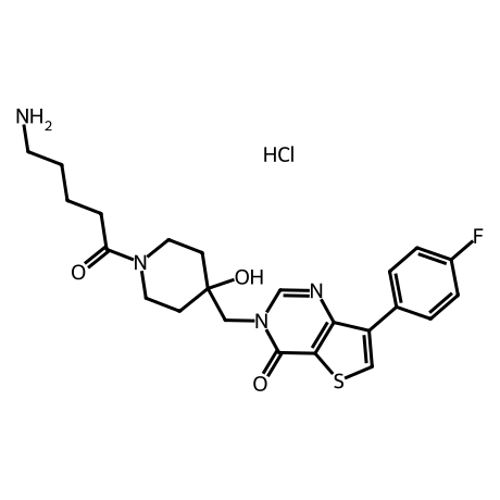 Cl.NCCCCC(=O)N1CCC(O)(Cn2cnc3c(-c4ccc(F)cc4)csc3c2=O)CC1